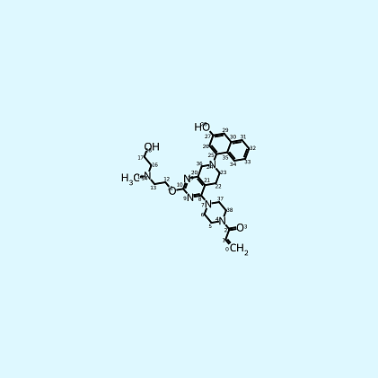 C=CC(=O)N1CCN(c2nc(OCCN(C)CCO)nc3c2CCN(c2cc(O)cc4ccccc24)C3)CC1